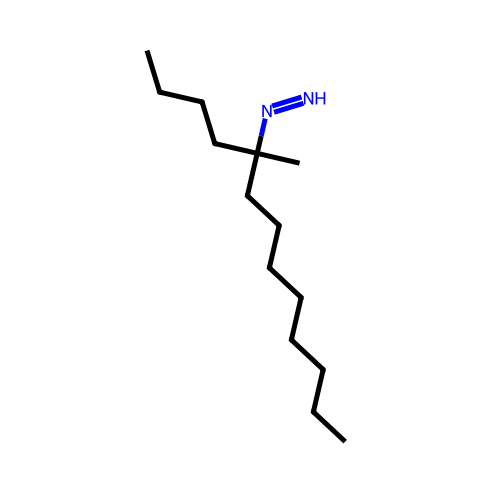 CCCCCCCCC(C)(CCCC)N=N